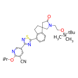 CC(C)Oc1ncc(-c2nsc(-c3cccc4c3CCC43CC(=O)N(CCO[Si](C)(C)C(C)(C)C)C3)n2)cc1C#N